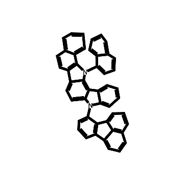 c1cc2c(c(-n3c4ccccc4c4c3ccc3c5ccc6ccccc6c5n(-c5cccc6ccccc56)c34)c1)-c1cccc3cccc-2c13